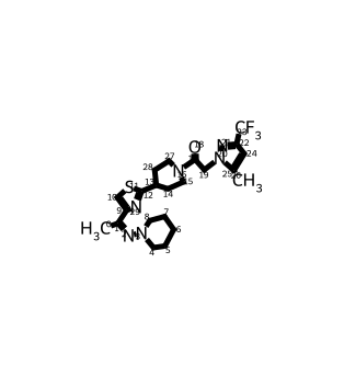 CC(=NN1CCCCC1)c1csc(C2CCN(C(=O)Cn3nc(C(F)(F)F)cc3C)CC2)n1